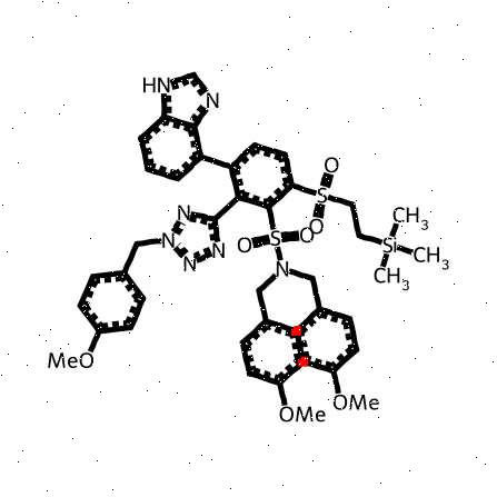 COc1ccc(CN(Cc2ccc(OC)cc2)S(=O)(=O)c2c(S(=O)(=O)CC[Si](C)(C)C)ccc(-c3cccc4[nH]cnc34)c2-c2nnn(Cc3ccc(OC)cc3)n2)cc1